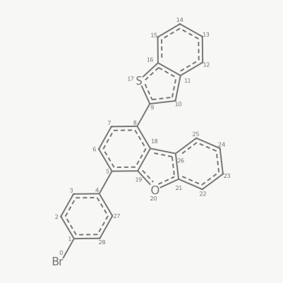 Brc1ccc(-c2ccc(-c3cc4ccccc4s3)c3c2oc2ccccc23)cc1